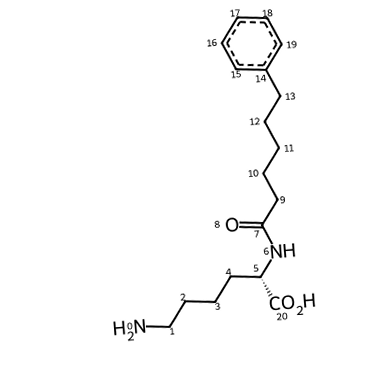 NCCCC[C@H](NC(=O)CCCCCc1ccccc1)C(=O)O